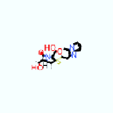 Cc1c(CCSC2=C(C(=O)O)N3C(=O)[C@H]([C@@H](C)O)[C@H]3[C@H]2C)nc2ccccn12